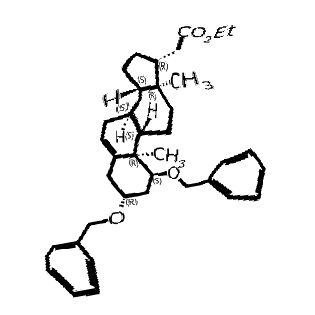 CCOC(=O)C[C@H]1CC[C@H]2[C@@H]3CC=C4C[C@@H](OCc5ccccc5)C[C@H](OCc5ccccc5)[C@]4(C)[C@H]3CC[C@]12C